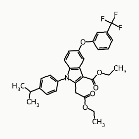 CCOC(=O)Cc1c(C(=O)OCC)c2cc(Oc3cccc(C(F)(F)F)c3)ccc2n1-c1ccc(C(C)C)cc1